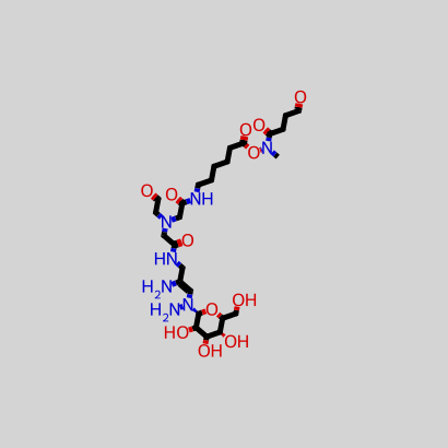 CN(OC(=O)CCCCCNC(=O)CN(CC=O)CC(=O)NC/C(N)=C/N(N)[C@H]1OC(CO)[C@@H](O)C(O)C1O)C(=O)CCC=O